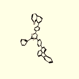 c1ccc(-c2nc(-c3ccc(-c4ccc5c6c(cccc46)-c4ccccc4-5)cc3)nc(-c3ccc(-c4cccc5cccnc45)cc3)n2)cc1